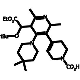 CCOC(=O)C(OC(C)(C)C)C1C(C)=NC(C)C(C2=CCN(C(=O)O)CC2)=C1N1CCC(C)(C)CC1